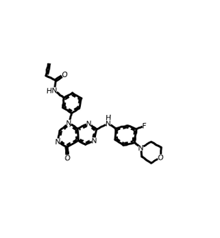 C=CC(=O)Nc1cccc(-n2cnc(=O)c3cnc(Nc4ccc(N5CCOCC5)c(F)c4)nc32)c1